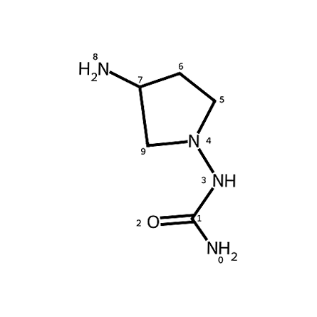 NC(=O)NN1CCC(N)C1